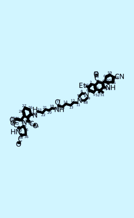 CCc1cc2c(cc1N1CCN(CCCCCC(=O)NCCCCCNc3cccc4c(=C=O)n(C5CCC(=C=O)NC5=C=O)c(=C=O)c34)CC1)C(C)(C)c1[nH]c3cc(C#N)ccc3c1C2=C=O